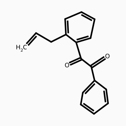 C=CCc1ccccc1C(=O)C(=O)c1ccccc1